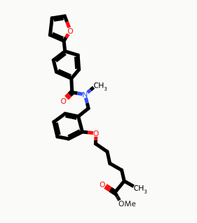 COC(=O)C(C)CCCCOc1ccccc1CN(C)C(=O)c1ccc(-c2ccco2)cc1